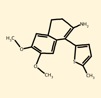 COc1cc2c(cc1OC)C(c1ccc(C)s1)=C(N)CC2